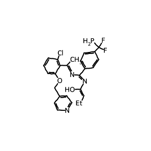 CC/C=C(O)/N=C(\N=C(/C)c1c(Cl)cccc1OCc1ccncc1)c1ccc(C(F)(F)P)cc1